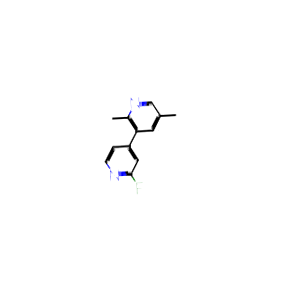 Cc1[c]c(-c2ccnc(F)c2)c(C)nc1